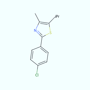 Cc1nc(-c2ccc(Cl)cc2)sc1C(C)C